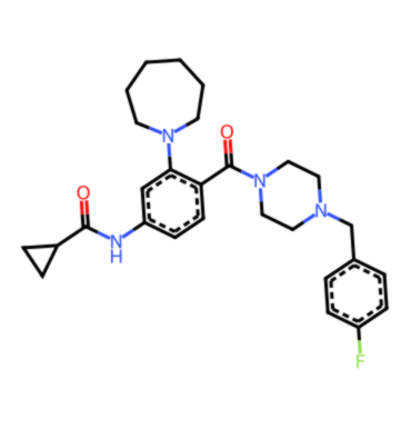 O=C(Nc1ccc(C(=O)N2CCN(Cc3ccc(F)cc3)CC2)c(N2CCCCCC2)c1)C1CC1